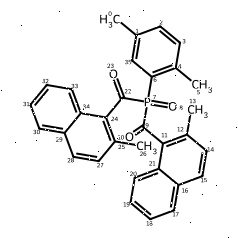 Cc1ccc(C)c(P(=O)(C(=O)c2c(C)ccc3ccccc23)C(=O)c2c(C)ccc3ccccc23)c1